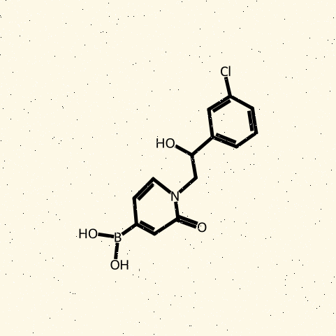 O=c1cc(B(O)O)ccn1CC(O)c1cccc(Cl)c1